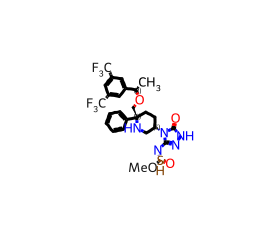 CO[SH](=O)=Nc1n[nH]c(=O)n1[C@H]1CC[C@@](CO[C@H](C)c2cc(C(F)(F)F)cc(C(F)(F)F)c2)(c2ccccc2)NC1